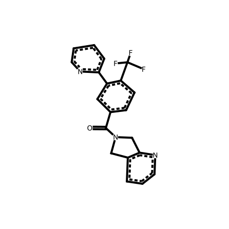 O=C(c1ccc(C(F)(F)F)c(-c2ccccn2)c1)N1Cc2cccnc2C1